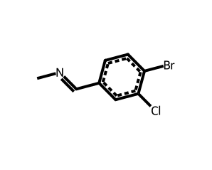 CN=Cc1ccc(Br)c(Cl)c1